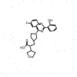 O=C(O)N(CC1CCN(c2nc(-c3ccccc3O)nc3ccc(F)cc23)C1)C1CCOC1